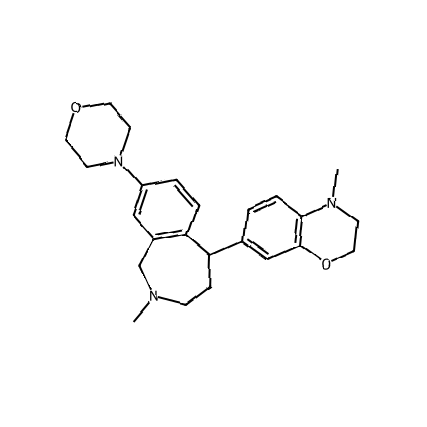 CN1CCC(c2ccc3c(c2)OCCN3C)c2ccc(N3CCOCC3)cc2C1